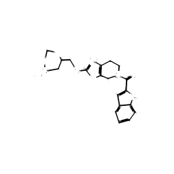 CC(=O)N1CCOC(CNc2nc3c(s2)CN(C(=O)c2cc4ccccc4[nH]2)CC3)C1